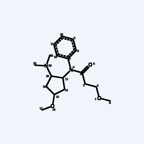 COCCC(=O)N(c1ccccc1)C1CC(OC)CC1N(C)C